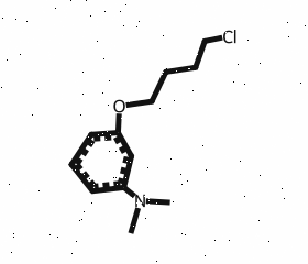 CN(C)c1cccc(OCCCCCl)c1